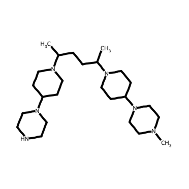 CC(CCC(C)N1CCC(N2CCN(C)CC2)CC1)N1CCC(N2CCNCC2)CC1